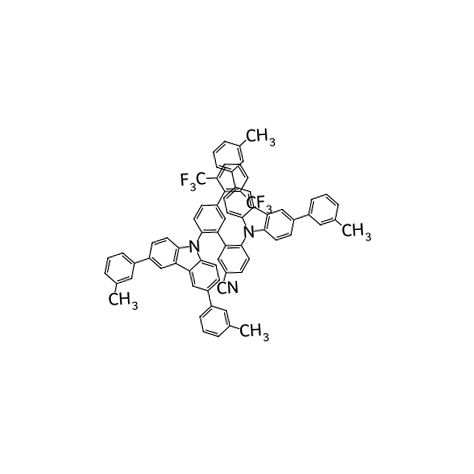 Cc1cccc(-c2ccc3c(c2)c2cc(-c4cccc(C)c4)ccc2n3-c2ccc(C#N)cc2-c2cc(-c3c(C(F)(F)F)cccc3C(F)(F)F)ccc2-n2c3ccc(-c4cccc(C)c4)cc3c3cc(-c4cccc(C)c4)ccc32)c1